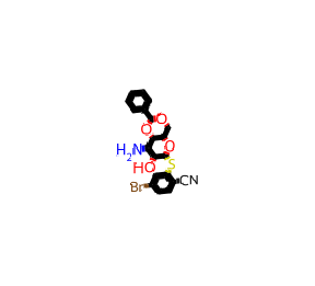 N#Cc1ccc(Br)cc1SC1OC2COC(c3ccccc3)OC2C(N)C1O